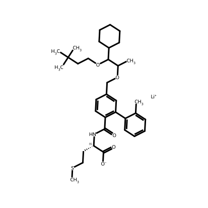 CSCC[C@H](NC(=O)c1ccc(COC(C)C(OCCC(C)(C)C)C2CCCCC2)cc1-c1ccccc1C)C(=O)[O-].[Li+]